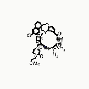 COCCN1CCN(C[C@@]2(OC)/C=C/C[C@H](C)[C@@H](C)S(=O)(=O)NC(=O)c3ccc4c(c3)N(C[C@@H]3CC[C@H]32)C[C@@]2(CCCc3cc(Cl)ccc32)CO4)CC1=O